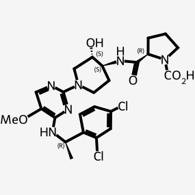 COc1cnc(N2CC[C@H](NC(=O)[C@H]3CCCN3C(=O)O)[C@@H](O)C2)nc1N[C@H](C)c1ccc(Cl)cc1Cl